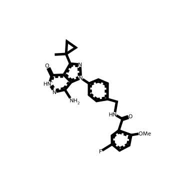 COc1ccc(F)cc1C(=O)NCc1ccc(-n2nc(C3(C)CC3)c3c(=O)[nH]nc(N)c32)cc1